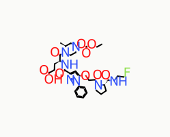 CCOC(=O)ON1CCN(C(=O)[C@H](CCC(=O)O)NC(=O)c2cc(OCC(=O)N3CCC[C@H]3C(=O)NCCF)n(-c3ccccc3)n2)[C@@H](C)C1